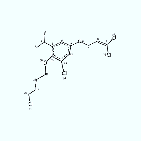 CC(C)c1cc(OCC=C(Cl)Cl)cc(Cl)c1OCCCCCl